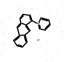 [Cl-].c1cc[n+](-c2cccc3cc4ccccc4cc23)cc1